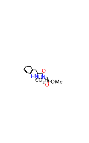 COC(=O)CNC(=O)C(Cc1ccccc1)NC(=O)O